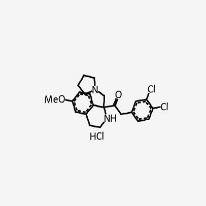 COc1ccc2c(c1)CCNC2(CN1CCCC1)C(=O)Cc1ccc(Cl)c(Cl)c1.Cl